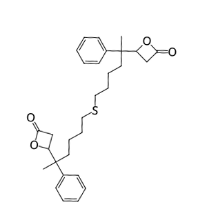 CC(CCCCSCCCCC(C)(c1ccccc1)C1CC(=O)O1)(c1ccccc1)C1CC(=O)O1